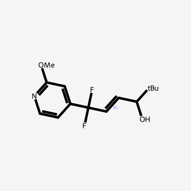 COc1cc(C(F)(F)/C=C/C(O)C(C)(C)C)ccn1